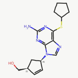 Nc1nc(SC2CCCC2)c2ncn([C@H]3C=C[C@@H](CO)C3)c2n1